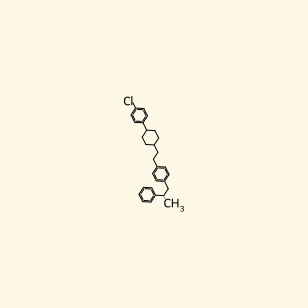 C[C@@H](Cc1ccc(CCC2CCC(c3ccc(Cl)cc3)CC2)cc1)c1ccccc1